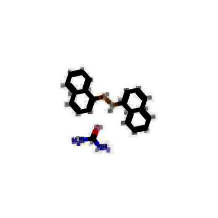 NC(N)=O.c1ccc2c(SSc3cccc4ccccc34)cccc2c1